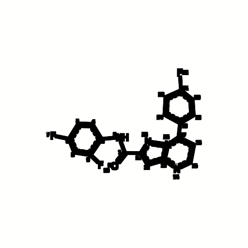 O=C(Nc1ccc(F)cc1F)c1cc2nccc(-c3ccc(F)cc3)n2n1